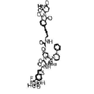 CC(C)(C)[C@H](NC(=O)c1cc2cc(C(F)(F)P(=O)(O)O)ccc2s1)C(=O)N1C[C@@H](OCC(=O)NCCC#Cc2ccc3c(c2)C(=O)N(C2CCC(=O)NC2=O)C3=O)C[C@H]1C(=O)N1CCC[C@H](c2ccccc2)C1